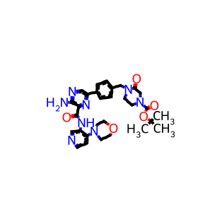 CC(C)(C)OC(=O)N1CCN(Cc2ccc(-c3cnc(N)c(C(=O)Nc4cnccc4N4CCOCC4)n3)cc2)C(=O)C1